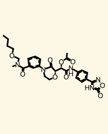 CCCCOCN(C)C(=O)c1cccc(N2CCO[C@H]([C@@H](OC(C)=O)C(=O)Nc3ccc(-c4noc(=O)[nH]4)cc3)C2=O)c1